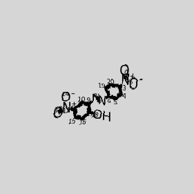 O=[N+]([O-])c1ccc(N=Nc2cc([N+](=O)[O-])ccc2O)cc1